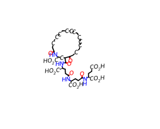 O=C(O)CC[C@H](NC(=O)CC[C@H](NC(=O)CC[C@H](NC(=O)C1C[C@@H](C(=O)O)NC(=O)CCCCCCCCCCCCCCCCC1=O)C(=O)O)C(=O)O)C(=O)O